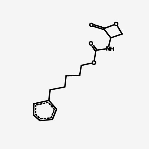 O=C(NC1COC1=O)OCCCCCc1ccccc1